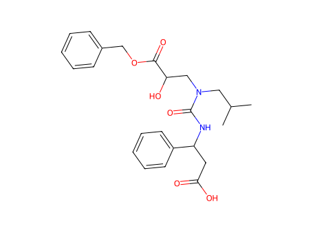 CC(C)CN(CC(O)C(=O)OCc1ccccc1)C(=O)NC(CC(=O)O)c1ccccc1